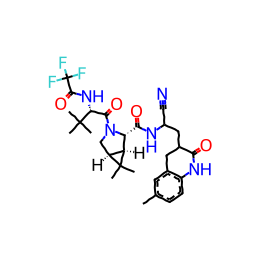 Cc1ccc2c(c1)CC(CC(C#N)NC(=O)[C@@H]1[C@@H]3[C@H](CN1C(=O)[C@@H](NC(=O)C(F)(F)F)C(C)(C)C)C3(C)C)C(=O)N2